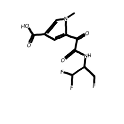 Cn1cc(C(=O)O)cc1C(=O)C(=O)NC(CF)C(F)F